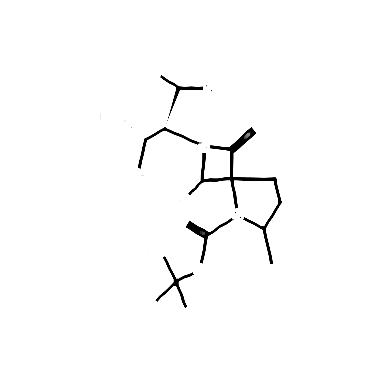 CC(N)[C@H]([C@@H](C)O)N1C(=O)C2(CCC(C)N2C(=O)OC(C)(C)C)C1C